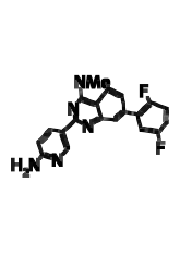 CNc1nc(-c2ccc(N)nc2)nc2cc(-c3cc(F)ccc3F)ccc12